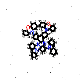 c1ccc2c(c1)Oc1ccccc1N2c1ccc2c(c1)c1cc(N3c4ccccc4Oc4ccccc43)ccc1c1nc3c(-n4c5ccccc5c5ccccc54)ccc(-n4c5ccccc5c5ccccc54)c3nc21